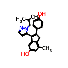 Cc1cc(O)cc2c1CC(c1ccc(O)cc1)=C2c1ccnn1CC(C)C